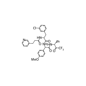 COc1ccc(C(NC(=O)C(Cc2cccc(Cl)c2)NC(=O)CCc2cccnc2)C(=O)NC(C(=O)C(F)(F)F)C(C)C)cc1